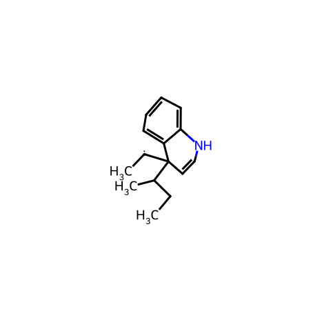 C[CH]C1(C(C)CC)C=CNc2ccccc21